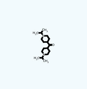 CC(C)N1CCC(C(=O)C2CCN(C(C)C)CC2)CC1